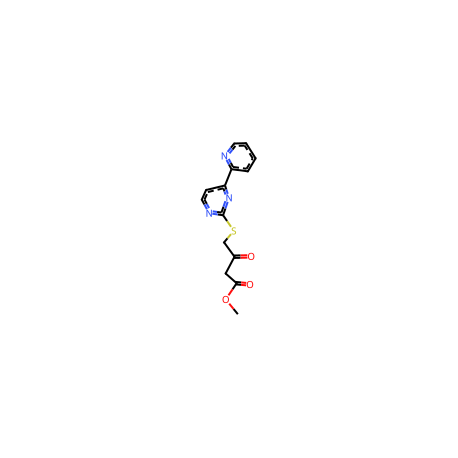 COC(=O)CC(=O)CSc1nccc(-c2ccccn2)n1